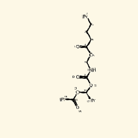 CC(C)CCCC(=O)OCNC(=O)O[C@H](OC(=O)C(C)C)C(C)C